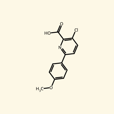 COc1ccc(-c2ccc(Cl)c(C(=O)O)n2)cc1